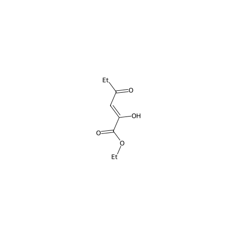 CCOC(=O)/C(O)=C/C(=O)CC